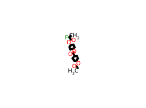 C=CC(=O)Oc1ccc(C(=O)Oc2ccc(OC(=O)C(=C)F)cc2)cc1